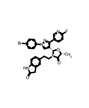 C[C@H]1O[C@@H](c2cn(-c3ccc(Br)cc3)nc2-c2ccc(F)nc2)N(CCc2ccc3c(c2)CC(=O)N3)C1=O